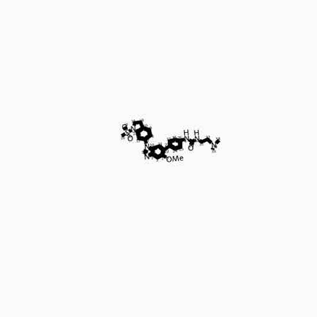 COc1cc2ncn(-c3ccc4c(c3)N(S(C)(=O)=O)CC4)c2cc1-c1ccc(NC(=O)NCCN(C)C)cc1